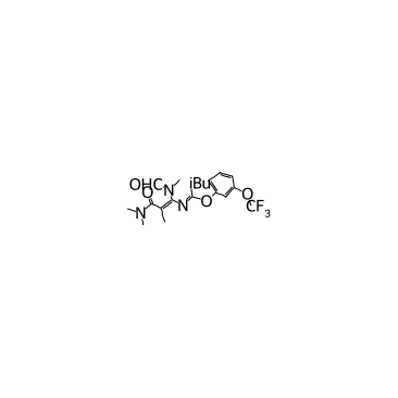 CCC(C)/C(=N\C(=C(/C)C(=O)N(C)C)N(C)C=O)Oc1cccc(OC(F)(F)F)c1